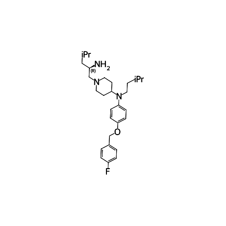 CC(C)CCN(c1ccc(OCc2ccc(F)cc2)cc1)C1CCN(C[C@H](N)CC(C)C)CC1